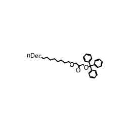 CCCCCCCCCCCCCCCCCCOCC(=O)COC(c1ccccc1)(c1ccccc1)c1ccccc1